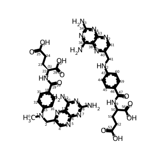 CN(Cc1cnc2nc(N)nc(N)c2n1)c1ccc(C(=O)N[C@@H](CCC(=O)O)C(=O)O)cc1.Nc1nc(N)c2nc(CNc3ccc(C(=O)NC(CCC(=O)O)C(=O)O)cc3)cnc2n1